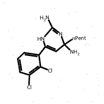 CCCCCC1(N)C=C(c2cccc(Cl)c2Cl)NC(N)=N1